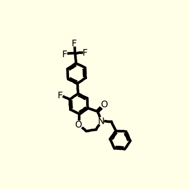 O=C1c2cc(-c3ccc(C(F)(F)F)cc3)c(F)cc2OCCN1Cc1ccccc1